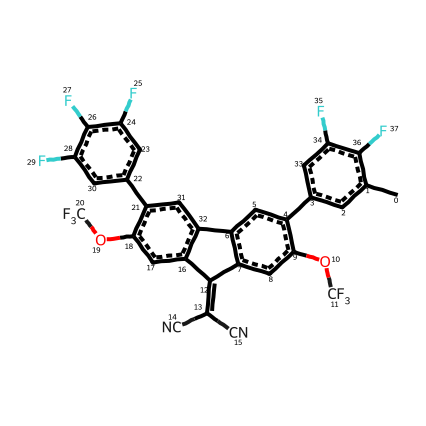 Cc1cc(-c2cc3c(cc2OC(F)(F)F)C(=C(C#N)C#N)c2cc(OC(F)(F)F)c(-c4cc(F)c(F)c(F)c4)cc2-3)cc(F)c1F